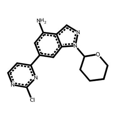 Nc1cc(-c2ccnc(Cl)n2)cc2c1cnn2C1CCCCO1